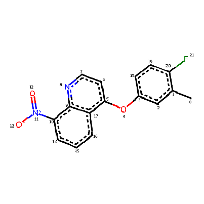 Cc1cc(Oc2ccnc3c([N+](=O)[O-])cccc23)ccc1F